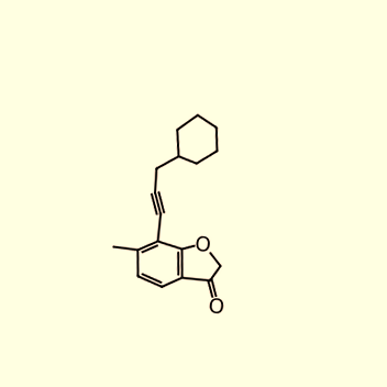 Cc1ccc2c(c1C#CCC1CCCCC1)OCC2=O